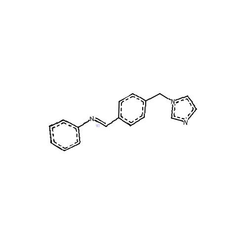 C(=N\c1ccccc1)/c1ccc(Cn2ccnc2)cc1